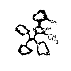 Cc1ccccc1-c1nc(C(C(c2ccccc2)c2ccccc2)N2CCNCC2)c(C)[nH]1